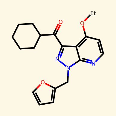 CCOc1ccnc2c1c(C(=O)C1CCCCC1)nn2Cc1ccco1